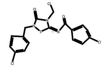 O=C(/N=c1/sn(Cc2ccc(Cl)cc2)c(=O)n1CCl)c1ccc(Cl)cc1